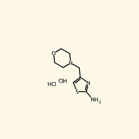 Cl.Cl.Nc1nc(CN2CCOCC2)cs1